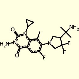 Cc1c(N2CC(C(C)(C)N)C(F)(F)C2)c(F)cc2c(=O)n(N)c(=O)n(C3CC3)c12